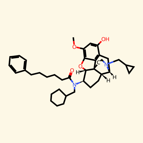 COc1cc(O)c2c3c1O[C@H]1[C@H](N(CC4CCCCC4)C(=O)CCCCCc4ccccc4)CC[C@H]4[C@@H](C2)N(CC2CC2)CC[C@@]341